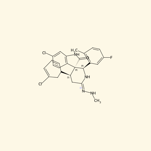 CN/N=C1/C[C@@H](C2C=CC=C(Cl)C2)[C@]2(C(=O)Nc3cc(Cl)ccc32)[C@@H](c2cc(F)ccc2C)N1